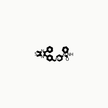 O=c1[nH]c2ccccc2n1C1=CCN(Cc2ccc(-c3nc4cscc4nc3-c3ccccc3)cc2)CC1